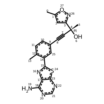 Cc1cc([C@](C)(O)C#Cc2ccc(C)c(-c3nc4c(N)ncnc4s3)c2)no1